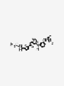 C=CPOc1cccc(Nc2ncnc3cc(-c4ccc(CNCC)s4)sc23)c1